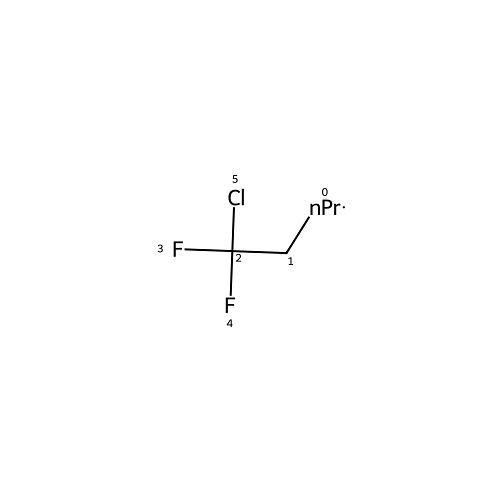 CC[CH]CC(F)(F)Cl